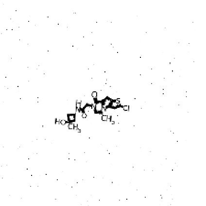 C[C@@H]1CN(CC(=O)N[C@H]2C[C@@](C)(O)C2)C(=O)c2cc3sc(Cl)cc3n21